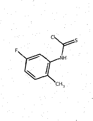 Cc1ccc(F)cc1NC(=S)Cl